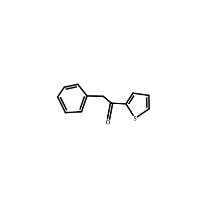 O=C(Cc1[c]cccc1)c1cccs1